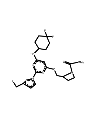 COC(=O)N1CCC1COc1cc(NC2CCC(F)(F)CC2)nc(-n2ccc(CF)n2)n1